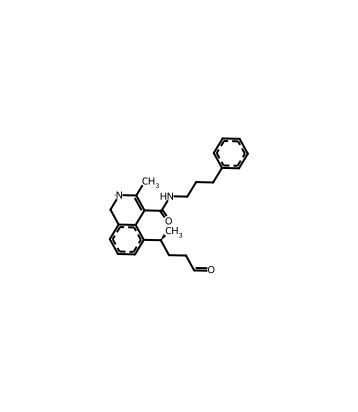 CC1=C(C(=O)NCCCc2ccccc2)c2c(cccc2[C@@H](C)CCC=O)C[N]1